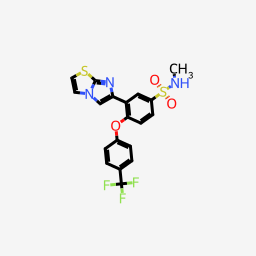 CNS(=O)(=O)c1ccc(Oc2ccc(C(F)(F)F)cc2)c(-c2cn3ccsc3n2)c1